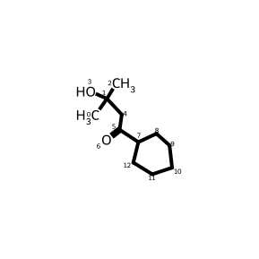 CC(C)(O)CC(=O)C1CCCCC1